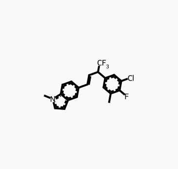 Cc1cc(C(/C=C/c2ccc3c(ccn3C)c2)C(F)(F)F)cc(Cl)c1F